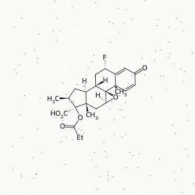 CCC(=O)O[C@@]1(C(=O)O)[C@@H](C)C[C@H]2[C@@H]3C[C@H](F)C4=CC(=O)C=C[C@]4(C)[C@@]34O[C@H]4C[C@@]21C